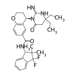 CCC1(CC)CC(=O)N([C@@H]2CCOc3ccc(C(=O)NC4c5ccccc5C(F)(F)C4(C)C)cc32)C(=N)N1